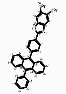 CCCc1cc2nc(-c3ccc(-c4c5ccccc5c(-c5ccccc5)c5ccccc45)cc3)oc2cc1CCC